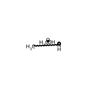 CC(=O)O.CCCCCCCCCCCCCCCCCCC=C1C=CC=CN1